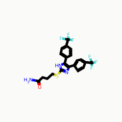 NC(=O)CCCSc1nc(-c2ccc(C(F)(F)F)cc2)c(-c2ccc(C(F)(F)F)cc2)[nH]1